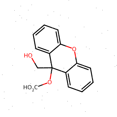 O=C(O)OC1(CO)c2ccccc2Oc2ccccc21